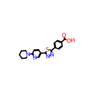 O=C(O)c1ccc(-c2nnc(-c3ccc(N4CCCCC4)nc3)s2)cc1